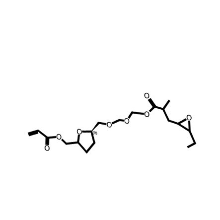 C=CC(=O)OCC1CC[C@H](COCOCOC(=O)C(C)CC2OC2CC)O1